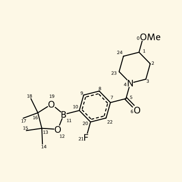 COC1CCN(C(=O)c2ccc(B3OC(C)(C)C(C)(C)O3)c(F)c2)CC1